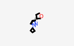 c1cn(C2CCC2)nc1[C@@H]1CCOC1